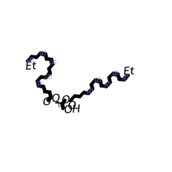 CC/C=C\C/C=C\C/C=C\C/C=C\C/C=C\CCCC(=O)OC[C@H](CO)OC(=O)CCC/C=C\C/C=C\C/C=C\C/C=C\C/C=C\CC